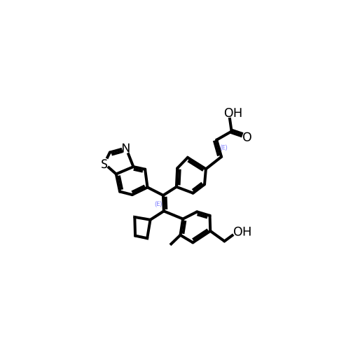 Cc1cc(CO)ccc1/C(=C(\c1ccc(/C=C/C(=O)O)cc1)c1ccc2scnc2c1)C1CCC1